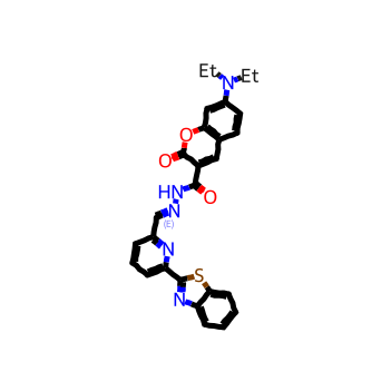 CCN(CC)c1ccc2cc(C(=O)N/N=C/c3cccc(-c4nc5ccccc5s4)n3)c(=O)oc2c1